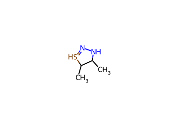 CC1NN=[SH]C1C